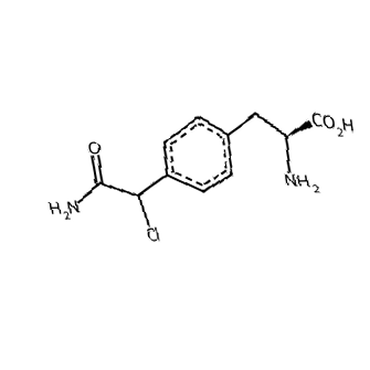 NC(=O)C(Cl)c1ccc(C[C@H](N)C(=O)O)cc1